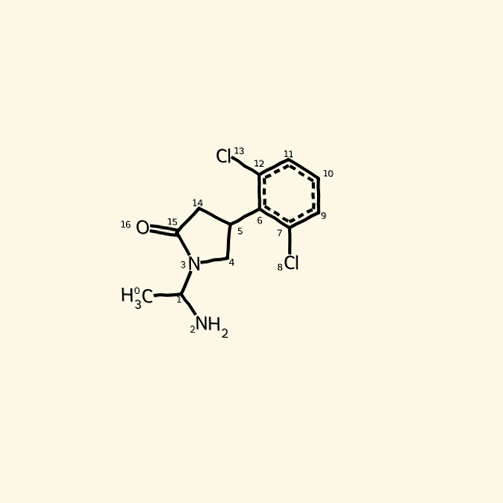 CC(N)N1CC(c2c(Cl)cccc2Cl)CC1=O